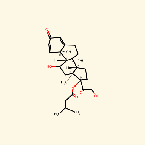 CC(C)CC(=O)O[C@]1(C(=O)CO)CC[C@H]2[C@@H]3CCC4=CC(=O)C=C[C@]4(C)[C@H]3C(O)C[C@@]21C